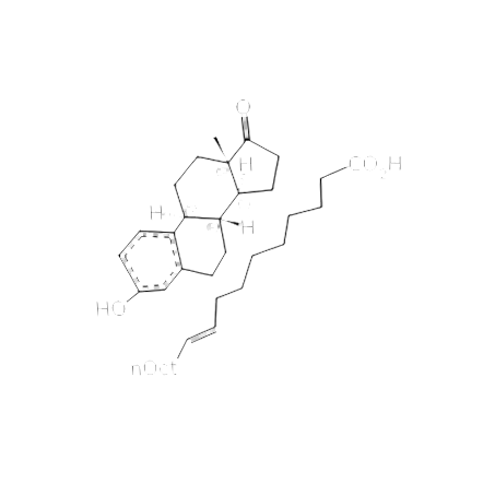 CCCCCCCCC=CCCCCCCCC(=O)O.C[C@]12CC[C@@H]3c4ccc(O)cc4CC[C@H]3[C@@H]1CCC2=O